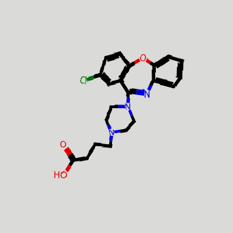 O=C(O)CCCN1CCN(C2=Nc3ccccc3Oc3ccc(Cl)cc32)CC1